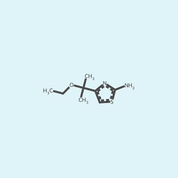 CCOC(C)(C)c1csc(N)n1